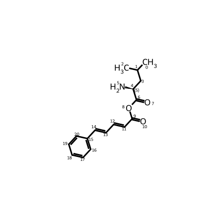 CC(C)C[C@H](N)C(=O)OC(=O)C=CC=Cc1ccccc1